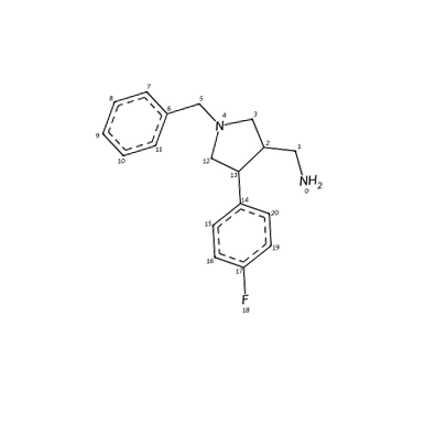 NCC1CN(Cc2ccccc2)CC1c1ccc(F)cc1